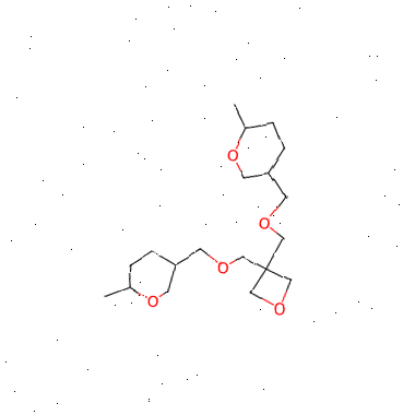 CC1CCC(COCC2(COCC3CCC(C)OC3)COC2)CO1